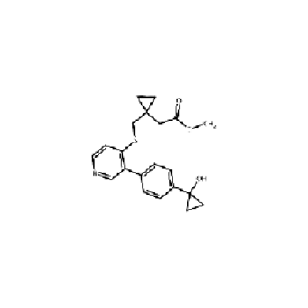 COC(=O)CC1(CSc2ccncc2-c2ccc(C3(O)CC3)cc2)CC1